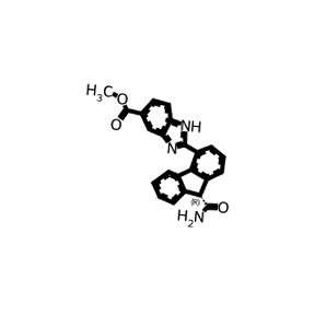 COC(=O)c1ccc2[nH]c(-c3cccc4c3-c3ccccc3[C@H]4C(N)=O)nc2c1